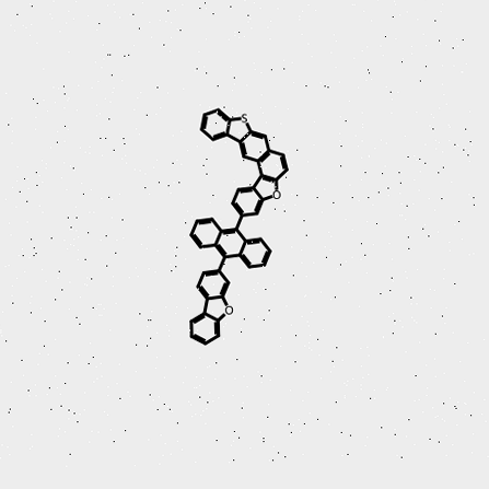 c1ccc2c(c1)oc1cc(-c3c4ccccc4c(-c4ccc5c(c4)oc4ccc6cc7sc8ccccc8c7cc6c45)c4ccccc34)ccc12